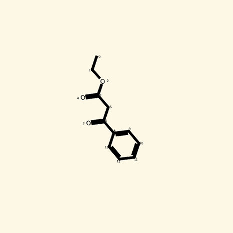 CCOC(=O)CC(=O)c1cc[c]cc1